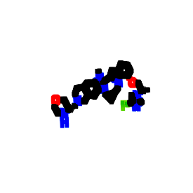 C[C@H](COc1cccc2cc(-c3nc4cc5c(cc4n3C)CCN(C[C@H]3COCCN3)C5)n(CC3CC3)c12)n1cnc(F)c1